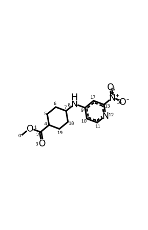 COC(=O)C1CCC(Nc2ccnc([N+](=O)[O-])c2)CC1